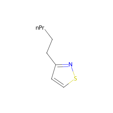 CCCCCc1ccsn1